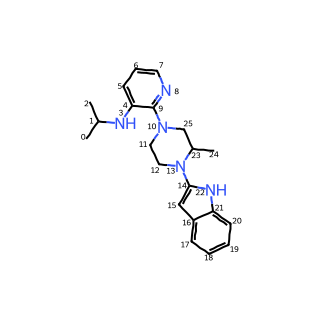 CC(C)Nc1cccnc1N1CCN(c2cc3ccccc3[nH]2)C(C)C1